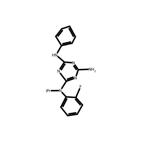 CC(C)N(c1nc(N)nc(Nc2ccccc2)n1)c1ccccc1F